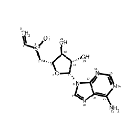 C=C[S+]([O-])C[C@H]1O[C@@H](n2cnc3c(N)ncnc32)[C@@H](O)C1O